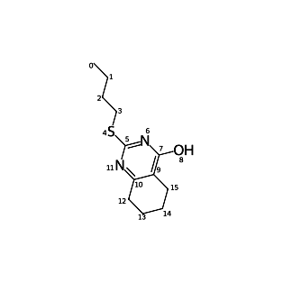 CCCCSc1nc(O)c2c(n1)CCCC2